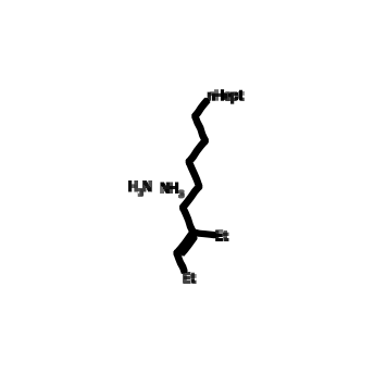 CC/C=C(\CC)CCCCCCCCCCCC.N.N